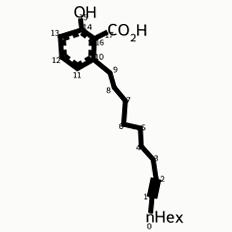 CCCCCCC#CCCCCCCCc1cccc(O)c1C(=O)O